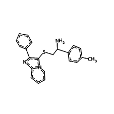 Cc1ccc(C(N)CSc2c(-c3ccccc3)nc3ccccn23)cc1